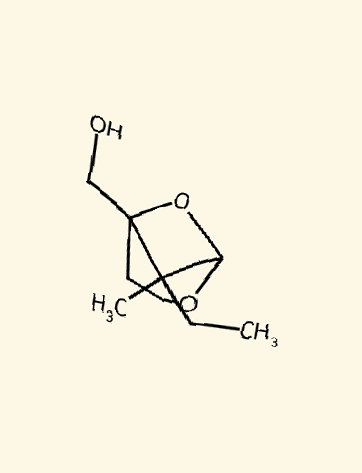 CCC1(C)C2OCC1(CO)O2